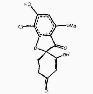 COc1cc(O)c(Cl)c2c1C(=O)[C@@]1(CCC(=O)C=C1O)O2